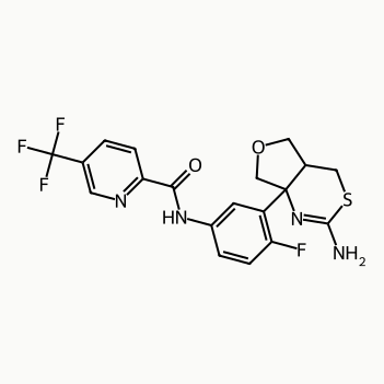 NC1=NC2(c3cc(NC(=O)c4ccc(C(F)(F)F)cn4)ccc3F)COCC2CS1